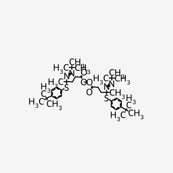 CC(C)(C)N=NC(C)(CCC(=O)OOC(=O)CCC(C)(N=NC(C)(C)C)Sc1ccc(C(C)(C)C)cc1)Sc1ccc(C(C)(C)C)cc1